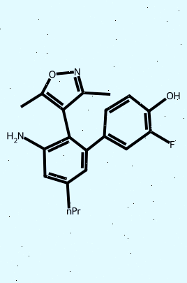 CCCc1cc(N)c(-c2c(C)noc2C)c(-c2ccc(O)c(F)c2)c1